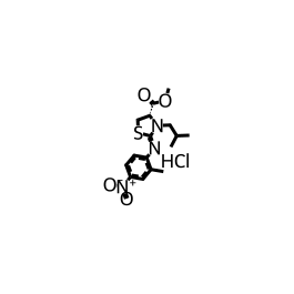 COC(=O)[C@H]1CSC(=Nc2ccc([N+](=O)[O-])cc2C)N1CC(C)C.Cl